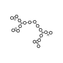 CC1(C)c2ccccc2-c2ccc(N(c3ccc(-c4ccc(-c5cccc(-c6ccc(-c7ccc(N(c8ccc(-c9cccc%10c9oc9ccccc9%10)cc8)c8ccc(-c9cccc%10c9oc9ccccc9%10)cc8)cc7)cc6)c5)cc4)cc3)c3ccc(-c4ccc5c(c4)c4ccccc4n5-c4ccccc4)cc3)cc21